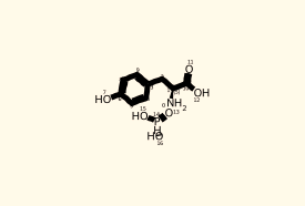 N[C@@H](Cc1ccc(O)cc1)C(=O)O.O=[PH](O)O